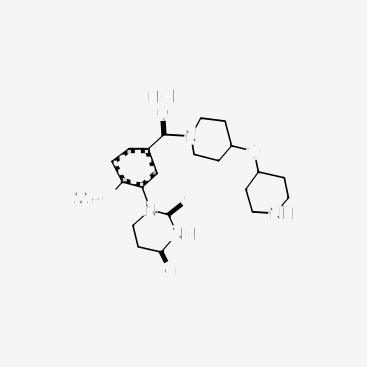 COc1ccc(C(=O)N2CCC(OC3CCNCC3)CC2)cc1N1CCC(=O)NC1=O.Cl